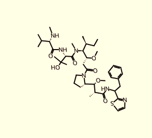 CC[C@H](C)[C@@H]([C@@H](CC(=O)N1CCC[C@H]1[C@H](OC)[C@@H](C)C(=O)NC(Cc1ccccc1)c1nccs1)OC)N(C)C(=O)[C@@H](NC(=O)[C@@H](NC)C(C)C)C(C)(C)O